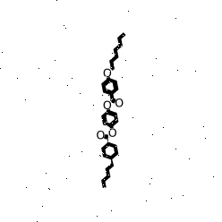 CCCCCCCOc1ccc(C(=O)Oc2ccc(OC(=O)[C@H]3CC[C@H](CCCCC)CC3)cc2)cc1